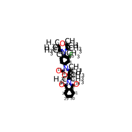 CC1(C)OC(C)(C)C(C)(C)N(c2ccc(N3C(=O)O[C@@](C)(C(C)(C)N4C(=O)c5ccccc5C4=O)C3(C)C)cc2F)C1(C)C